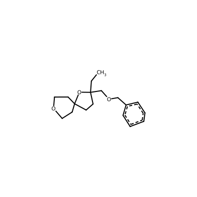 CCC1(COCc2ccccc2)CCC2(CCOCC2)O1